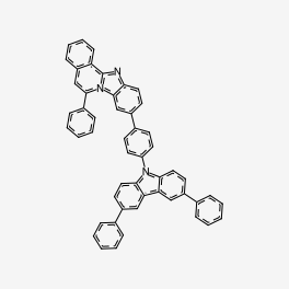 c1ccc(-c2ccc3c(c2)c2cc(-c4ccccc4)ccc2n3-c2ccc(-c3ccc4nc5c6ccccc6cc(-c6ccccc6)n5c4c3)cc2)cc1